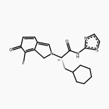 O=C1C=CC2=CN([C@@H](CC3CCCCC3)C(=O)Nc3nccs3)CC2=C1F